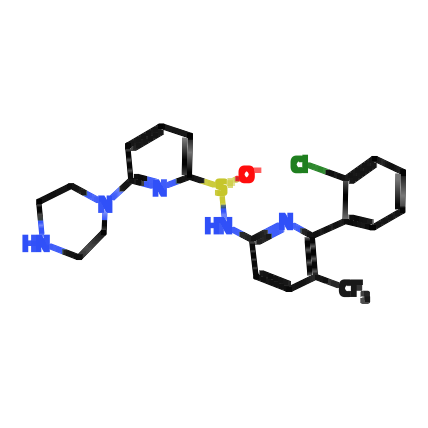 [O-][S+](Nc1ccc(C(F)(F)F)c(-c2ccccc2Cl)n1)c1cccc(N2CCNCC2)n1